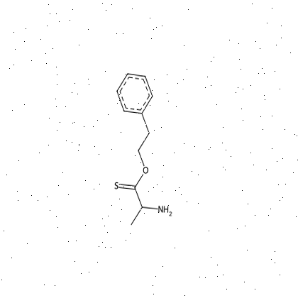 CC(N)C(=S)OCCc1ccccc1